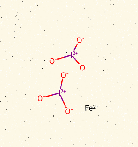 [Fe+2].[O-][I+2]([O-])[O-].[O-][I+2]([O-])[O-]